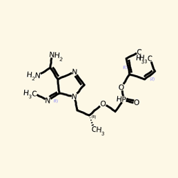 C/C=C\C(=C/C)O[PH](=O)CO[C@H](C)CN1C=NC(=C(N)N)/C1=N\C